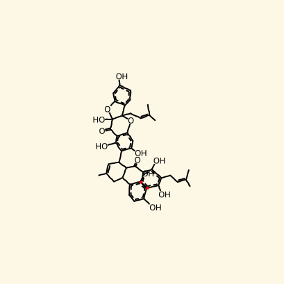 CC(C)=CCc1c(O)ccc(C(=O)C2C(c3c(O)cc4c(c3O)C(=O)C3(O)Oc5cc(O)ccc5C3(CC=C(C)C)O4)C=C(C)CC2c2ccc(O)cc2O)c1O